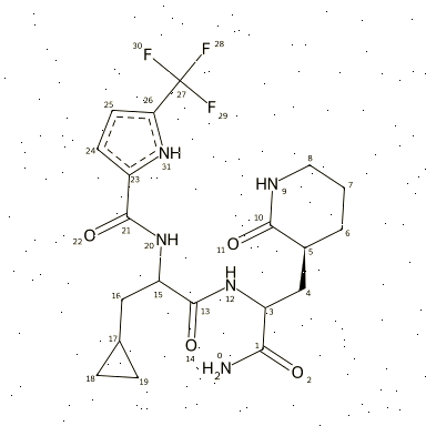 NC(=O)C(C[C@@H]1CCCNC1=O)NC(=O)C(CC1CC1)NC(=O)c1ccc(C(F)(F)F)[nH]1